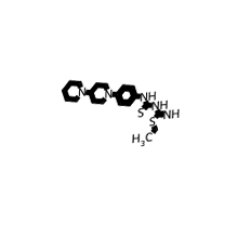 CCSC(=N)NC(=S)Nc1ccc(N2CCC(N3CCCCC3)CC2)cc1